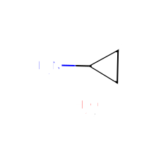 NC1CC1.O